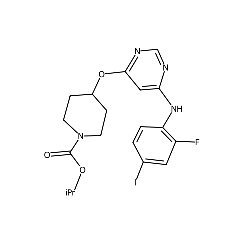 CC(C)OC(=O)N1CCC(Oc2cc(Nc3ccc(I)cc3F)ncn2)CC1